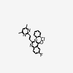 Cc1cc(C)nc(C=Cc2nc3ccc(F)cc3c(=O)n2-c2ccccc2Cl)n1